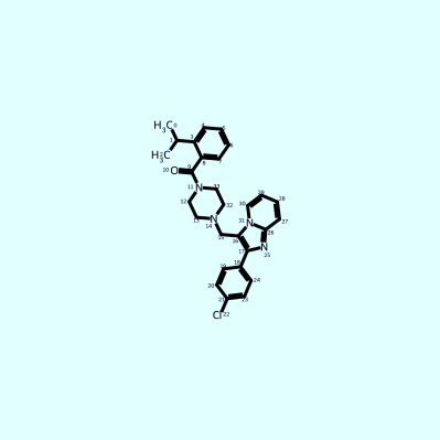 CC(C)c1ccccc1C(=O)N1CCN(Cc2c(-c3ccc(Cl)cc3)nc3ccccn23)CC1